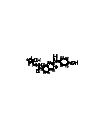 O=C(NCC1(O)CCC1)c1ccc2cnc(NC3CCC(O)CC3)nc2c1